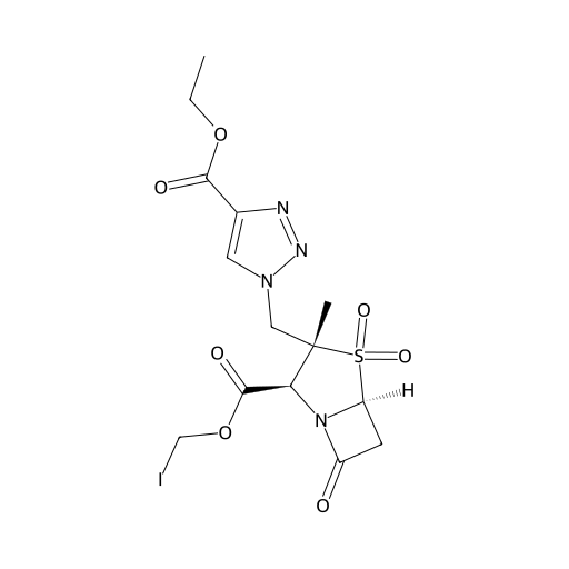 CCOC(=O)c1cn(C[C@@]2(C)[C@H](C(=O)OCI)N3C(=O)C[C@@H]3S2(=O)=O)nn1